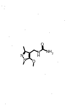 COc1c(CNC(N)=O)c(C)nn1C